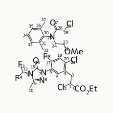 CCOC(=O)C(Cl)Cc1cc(-n2nc(C)n(C(F)F)c2=O)c(F)cc1Cl.COCCN(C(=O)CCl)c1c(C)cccc1C